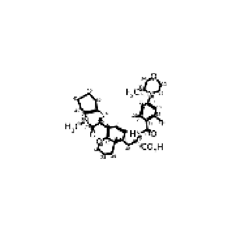 Cn1c2c(nc(-c3ccc(C[C@H](NC(=O)c4c(F)cc(N5CCOC[C@@H]5C(F)(F)F)cc4F)C(=O)O)c4c3OCCC4)c1=O)CCCC2